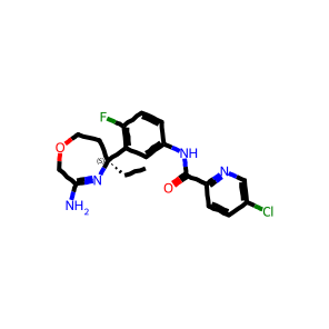 CC[C@@]1(c2cc(NC(=O)c3ccc(Cl)cn3)ccc2F)CCOCC(N)=N1